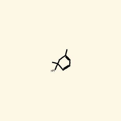 CCCC1(C)[CH]C(C)=CC=C1